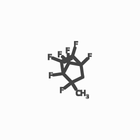 CC1(F)CC2(F)C(F)=C(F)C1(F)C2(F)F